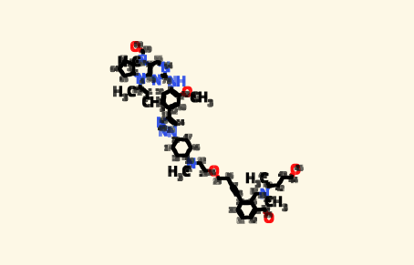 CC[C@H](C)N(c1nc(Nc2ccc(-c3cn([C@H]4CC[C@@H](N(C)CCOCCC#Cc5cccc(C=O)c5CN(C)C(C)CCC=O)CC4)nn3)cc2OC)ncc1N(C)C=O)C1CCCC1